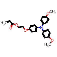 C=CC(=O)OCCOc1ccc(N(c2ccc(OC)cc2)c2ccc(OC)cc2)cc1